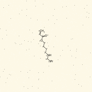 C=CC(=O)OCCCCNCC(C)C